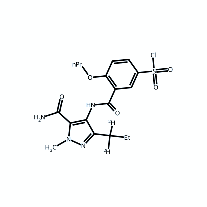 [2H]C([2H])(CC)c1nn(C)c(C(N)=O)c1NC(=O)c1cc(S(=O)(=O)Cl)ccc1OCCC